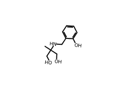 CC(CO)(CO)NCc1ccccc1O